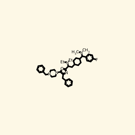 CCN(CC)C(CC1CCC(C(c2ccc(F)cc2)N(C)C)CC1)c1nc(Cc2ccccc2)c(N2CCN(Cc3ccccc3)CC2)o1